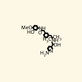 COc1ccc(NC(=O)Cc2cccc(CC(C)(C)NC[C@H](O)c3ccc(N)nc3)c2)cc1O